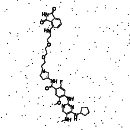 CNc1cnc(Nc2cc(F)c(C(=O)NC3CCN(CCOCCOCCNc4cccc5c4C(=O)NC5=O)C3)cc2OC)nc1NC1CCCC1